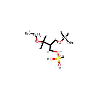 CC(C)(C)[SiH2]OC(C)(C)C(CO[Si](C)(C)C(C)(C)C)COS(C)(=O)=O